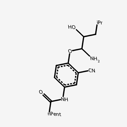 CCCCCC(=O)Nc1ccc(OC(N)C(O)CC(C)C)c(C#N)c1